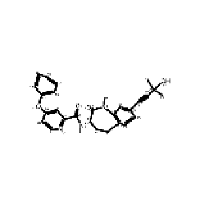 CN1C(=O)[C@@H](NC(=O)c2cc(Oc3ccccc3)ccn2)CCc2ccc(C#CC(C)(C)O)cc21